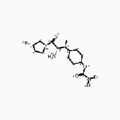 CCN(CC)C(=O)OC1CCC([C@H](C)[C@H](N)C(=O)N2CC[C@H](F)C2)CC1